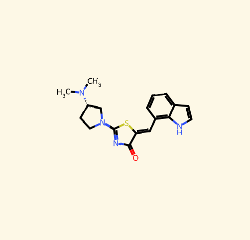 CN(C)[C@H]1CCN(C2=NC(=O)/C(=C/c3cccc4cc[nH]c34)S2)C1